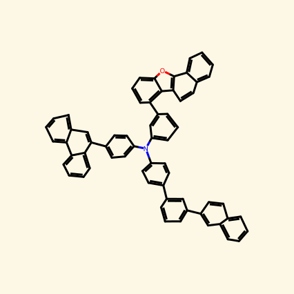 c1cc(-c2ccc(N(c3ccc(-c4cc5ccccc5c5ccccc45)cc3)c3cccc(-c4cccc5oc6c7ccccc7ccc6c45)c3)cc2)cc(-c2ccc3ccccc3c2)c1